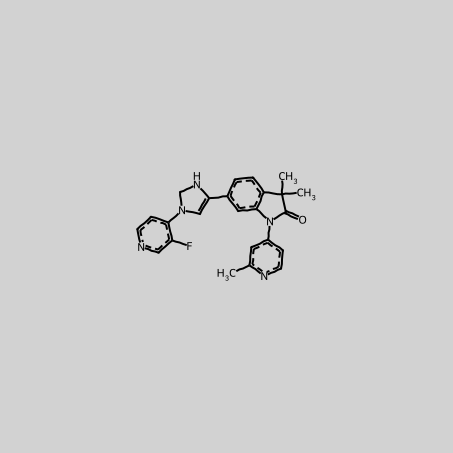 Cc1cc(N2C(=O)C(C)(C)c3ccc(C4=CN(c5ccncc5F)CN4)cc32)ccn1